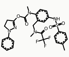 Cc1ccc(S(=O)(=O)Nc2ccc(N(C)C(=O)OC3=NN(c4ccccc4)CC3)c(CN(C)C(=O)C(F)(F)F)c2)cc1